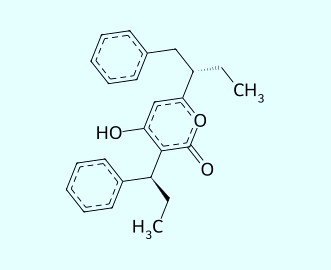 CC[C@@H](Cc1ccccc1)c1cc(O)c([C@@H](CC)c2ccccc2)c(=O)o1